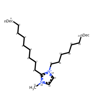 CCCCCCCCCCCCCCCCCCc1n(C)cc[n+]1CCCCCCCCCCCCCCCC